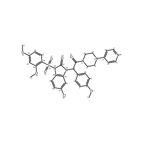 COc1ccc(C(C(=O)N2CCN(c3ccncc3)CC2)n2c(=O)n(S(=O)(=O)c3ccc(OC)cc3OC)c3ccc(Cl)cc32)cc1